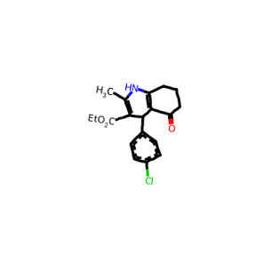 CCOC(=O)C1=C(C)NC2=C(C(=O)CCC2)C1c1ccc(Cl)cc1